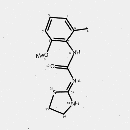 COc1cccc(C)c1NC(=O)N=C1NCCS1